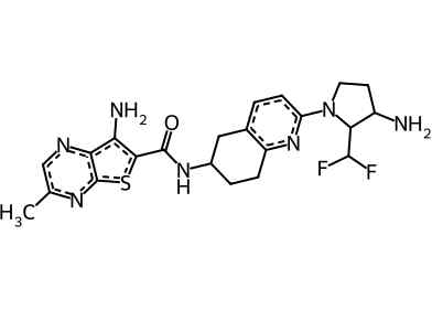 Cc1cnc2c(N)c(C(=O)NC3CCc4nc(N5CCC(N)C5C(F)F)ccc4C3)sc2n1